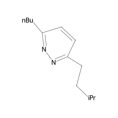 CCCCc1ccc(CCC(C)C)nn1